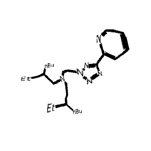 CCCCC(CC)CN(CC(CC)CCCC)Cn1nnc(-c2ccccn2)n1